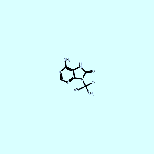 CCCC(C)(CC)n1c(=O)[nH]c2c(N)ncnc21